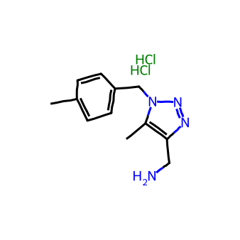 Cc1ccc(Cn2nnc(CN)c2C)cc1.Cl.Cl